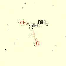 O=B[SiH]=O.[BiH3]